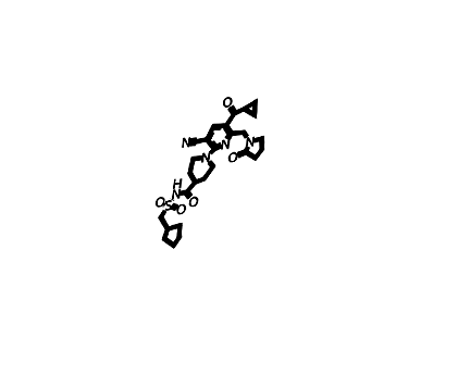 N#Cc1cc(C(=O)C2CC2)c(CN2CCCC2=O)nc1N1CCC(C(=O)NS(=O)(=O)CC2CCCC2)CC1